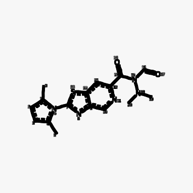 Cc1ccc(C)n1-c1nc2cnc(C(=O)N(C=O)N(C)C)cc2s1